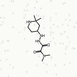 CN(C)C(=O)C(=O)NNC1CCNC(C)(C)C1